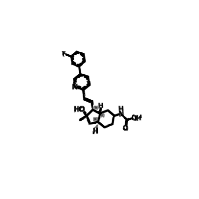 CC1(O)C[C@@H]2CCC(NC(=O)O)C[C@H]2[C@@H]1C=Cc1ccc(-c2cccc(F)c2)cn1